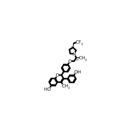 CC1=C(c2cccc(O)c2)C(c2ccc(OC[C@H](C)N3CC[C@@H](CC(F)(F)F)C3)cc2)Oc2ccc(O)cc21